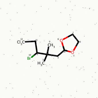 CC(C)(CC1OCCO1)C(Br)CC(Cl)(Cl)Cl